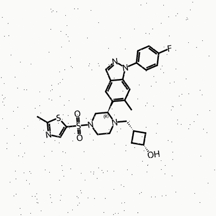 Cc1ncc(S(=O)(=O)N2CCN(C[C@H]3C[C@@H](O)C3)[C@H](c3cc4cnn(-c5ccc(F)cc5)c4cc3C)C2)s1